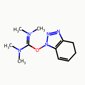 CN(C)C(On1nnc2c1C=CCC2)=[N+](C)C